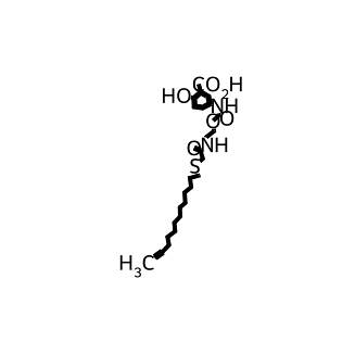 CC#CCCCCCCCCCCCSCC(=O)NCCOC(=O)Nc1ccc(O)c(C(=O)O)c1